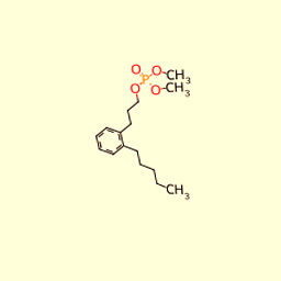 CCCCCc1ccccc1CCCOP(=O)(OC)OC